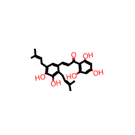 CC(C)=CCc1cc(/C=C/C(=O)c2c(O)cc(O)cc2O)c(CC=C(C)C)c(O)c1O